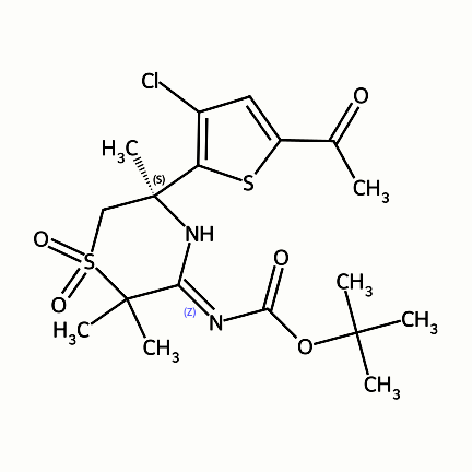 CC(=O)c1cc(Cl)c([C@]2(C)CS(=O)(=O)C(C)(C)/C(=N/C(=O)OC(C)(C)C)N2)s1